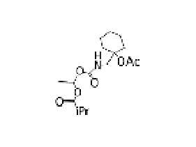 CC(=O)OC1(CNC(=O)O[C@H](C)OC(=O)C(C)C)CCCCC1